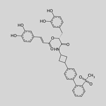 CS(=O)(=O)c1ccccc1-c1ccc(C2CC(NC(=O)[C@@H](Cc3ccc(O)c(O)c3)OC(=O)/C=C/c3ccc(O)c(O)c3)C2)cc1